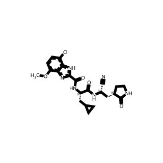 COc1ccc(Cl)c2[nH]c(C(=O)N[C@@H](CC3CC3)C(=O)N[C@H](C#N)C[C@@H]3CCNC3=O)nc12